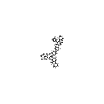 CC1(C)c2ccccc2-c2ccc(C(c3ccc(-c4ccccc4)cc3)c3ccc(-c4ccc5c(c4)oc4c(-c6ccccc6)c6c(cc45)oc4ccccc46)cc3)cc21